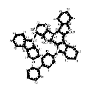 c1ccc(-c2ccc(-n3c4ccccc4c4c5sc6ccccc6c5c5c6ncnc(-n7c8ccccc8c8ccccc87)c6sc5c43)cc2)cc1